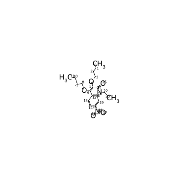 CCCCOc1c(OCCCC)c2ccc([N+](=O)[O-])cc2n(CC)c1=O